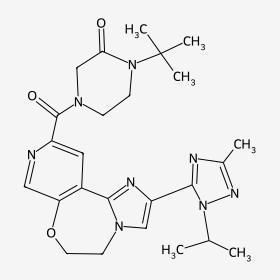 Cc1nc(-c2cn3c(n2)-c2cc(C(=O)N4CCN(C(C)(C)C)C(=O)C4)ncc2OCC3)n(C(C)C)n1